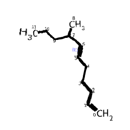 C=CCCC/C=C/C(C)CCC